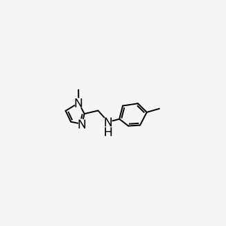 Cc1ccc(NCc2nccn2C)cc1